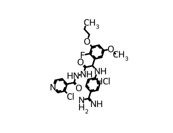 CCCOc1cc(OC)cc(C(Nc2ccc(C(=N)N)cc2)C(=O)NNC(=O)c2ccncc2Cl)c1F.Cl